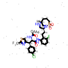 COC(=O)N[C@H](C(=O)Nc1cccc(F)c1CC[C@H]1CN[C@@H]2CCCS(=O)(=O)N1C2)[C@@H](c1ccc(Cl)cc1)c1csc(C(F)(F)F)n1